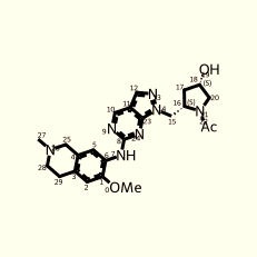 COc1cc2c(cc1Nc1ncc3cnn(C[C@@H]4C[C@H](O)CN4C(C)=O)c3n1)CN(C)CC2